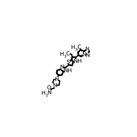 CCc1c(-c2cc(C)c3ncnn3c2)[nH]c2cc(-c3nc4ccc(N5CCN(CC(N)=O)CC5)cc4[nH]3)sc12